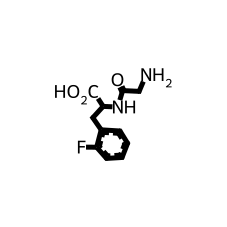 NCC(=O)NC(Cc1ccccc1F)C(=O)O